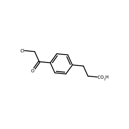 O=C(O)CCc1ccc(C(=O)CCl)cc1